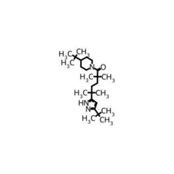 CC(C)(CCC(C)(C)c1cc(C(C)(C)C)n[nH]1)C(=O)N1CCC(C(C)(C)C)CC1